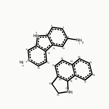 I.Nc1ccc2[nH]c3cnccc3c2c1.c1ccc2c3c(ccc2c1)CCN3